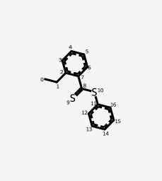 CCc1ccccc1C(=S)Sc1ccccc1